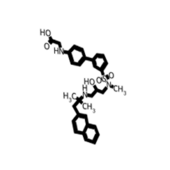 CN(CC(O)CNC(C)(C)Cc1ccc2ccccc2c1)S(=O)(=O)c1cccc(-c2ccc(NCC(=O)O)cc2)c1